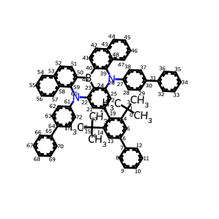 CC(C)(C)c1cc(-c2ccccc2)cc(C(C)(C)C)c1-c1cc2c3c(c1)N(c1ccc(-c4ccccc4)cc1)c1c(ccc4ccccc14)B3c1ccc3ccccc3c1N2c1ccc(-c2ccccc2)cc1